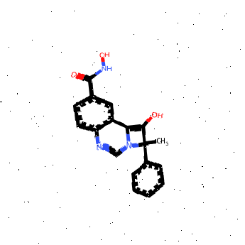 CC1(c2ccccc2)C(O)=C2c3cc(C(=O)NO)ccc3N=CN21